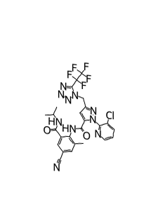 Cc1cc(C#N)cc(C(=O)NC(C)C)c1NC(=O)c1cc(Cn2nnnc2C(F)(F)C(F)(F)F)nn1-c1ncccc1Cl